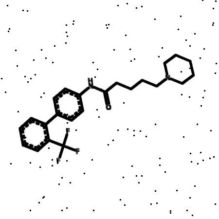 O=C(CCCCN1CCCCC1)Nc1ccc(-c2ccccc2C(F)(F)F)cc1